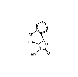 CCCN1C(=O)O[C@H](c2ccccc2Cl)[C@@H]1O